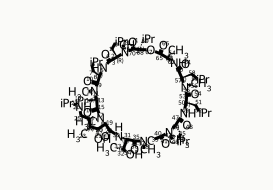 CC(C)C[C@@H]1C(=O)N[C@H](CC(C)C)C(=O)N(C)[C@H](C(C)C)C(=O)N(C)[C@H]([C@H](O)[C@H](C)CCNC(C)C)C(=O)N[C@H]([C@@H](C)O)C(=O)N(C)CC(=O)N(C)[C@@H](CC(C)C)C(=O)N[C@H](CC(C)C)C(=O)N(C)[C@H](CC(C)C)C(=O)N[C@H](C)C(=O)O[C@@H](C(C)C)C(=O)N1C